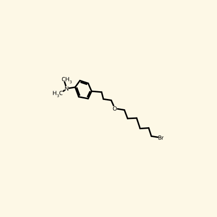 CN(C)c1ccc(CCCOCCCCCCBr)cc1